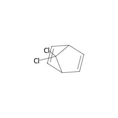 ClC1(Cl)C2C=CC1C=C2